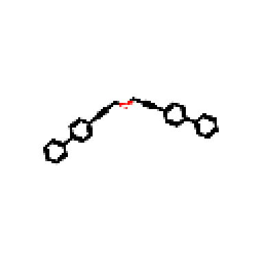 C(#Cc1ccc(-c2ccccc2)cc1)COCC#Cc1ccc(-c2ccccc2)cc1